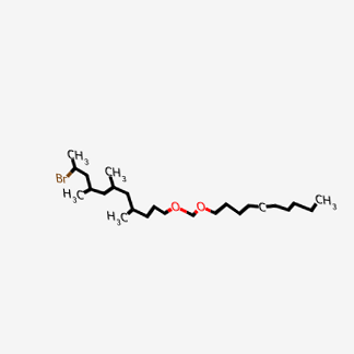 CCCCCCCCCCOCOCCCC(C)CC(C)CC(C)CC(C)Br